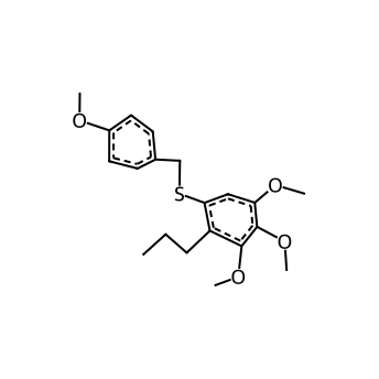 CCCc1c(SCc2ccc(OC)cc2)cc(OC)c(OC)c1OC